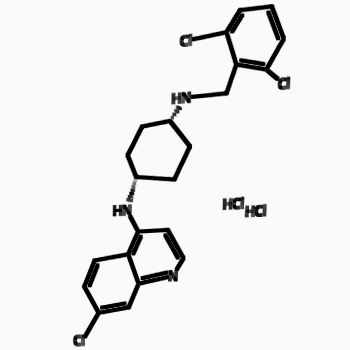 Cl.Cl.Clc1ccc2c(N[C@H]3CC[C@@H](NCc4c(Cl)cccc4Cl)CC3)ccnc2c1